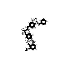 O=C1Nc2cc(S(=O)(=O)Cc3c(Br)cccc3Br)ccc2SC1=Cc1ccc(OCc2ccccc2)c([N+](=O)[O-])c1